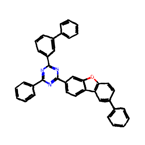 c1ccc(-c2cccc(-c3nc(-c4ccccc4)nc(-c4ccc5c(c4)oc4ccc(-c6ccccc6)cc45)n3)c2)cc1